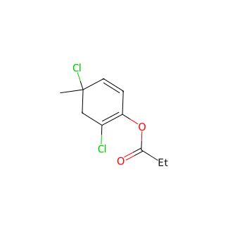 CCC(=O)OC1=C(Cl)CC(C)(Cl)C=C1